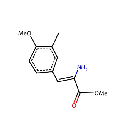 COC(=O)/C(N)=C/c1ccc(OC)c(C)c1